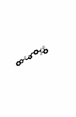 Nc1ccccc1NC(=O)c1ccc(Cc2ccc(CNC3Cc4ccccc4C3)s2)cc1